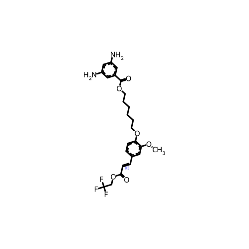 COc1cc(/C=C/C(=O)OCC(F)(F)F)ccc1OCCCCCCOC(=O)c1cc(N)cc(N)c1